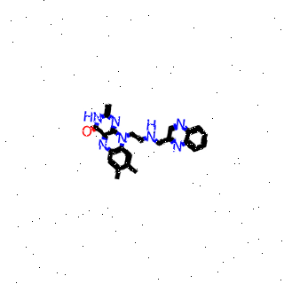 C=c1nc2c(c(=O)[nH]1)=Nc1cc(C)c(C)cc1N2CCNCc1cnc2ccccc2n1